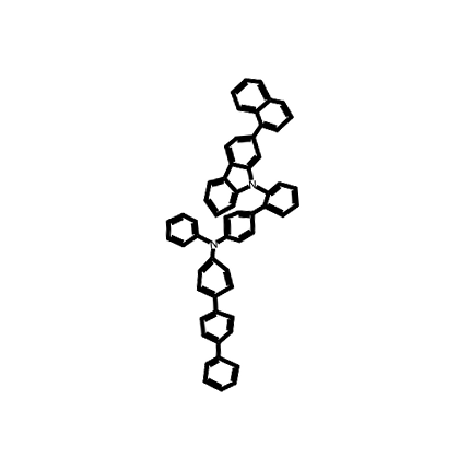 c1ccc(-c2ccc(-c3ccc(N(c4ccccc4)c4ccc(-c5ccccc5-n5c6ccccc6c6ccc(-c7cccc8ccccc78)cc65)cc4)cc3)cc2)cc1